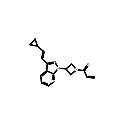 C=CC(=O)N1CC(n2nc(/C=C/C3CC3)c3cccnc32)C1